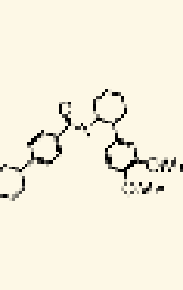 COc1ccc(C2CCCCC2NC(=O)c2ccc(C3CCCCC3)cc2)cc1OC